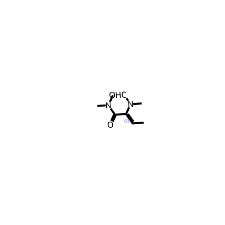 C/C=C(/C(=O)N(C)C)N(C)C=O